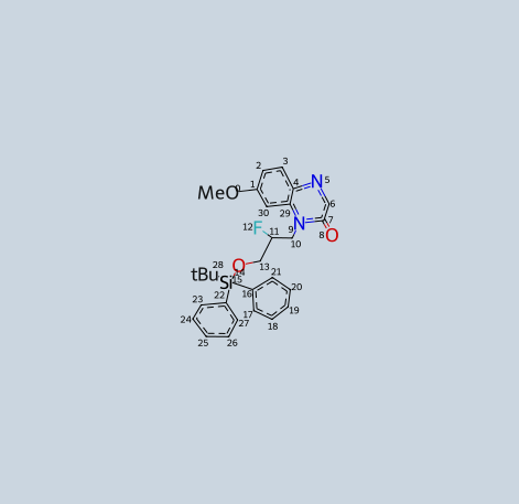 COc1ccc2ncc(=O)n(CC(F)CO[Si](c3ccccc3)(c3ccccc3)C(C)(C)C)c2c1